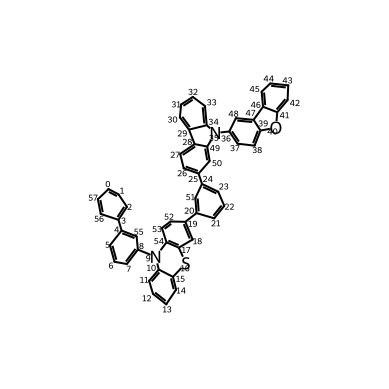 c1ccc(-c2cccc(N3c4ccccc4Sc4cc(-c5cccc(-c6ccc7c8ccccc8n(-c8ccc9oc%10ccccc%10c9c8)c7c6)c5)ccc43)c2)cc1